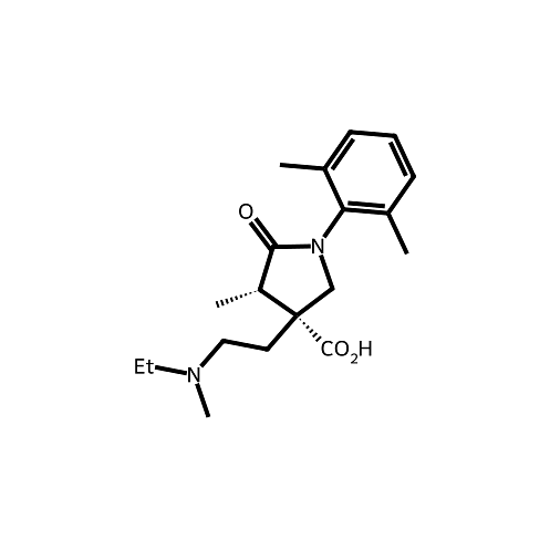 CCN(C)CC[C@]1(C(=O)O)CN(c2c(C)cccc2C)C(=O)[C@H]1C